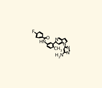 Cc1ccc(NC(=O)c2ccc(F)cc2)cc1-c1cc2c(ccn2-c2cc(N)ncn2)cn1